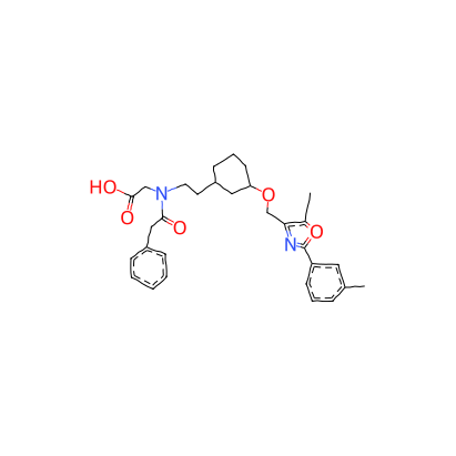 Cc1cccc(-c2nc(COC3CCCC(CCN(CC(=O)O)C(=O)Cc4ccccc4)C3)c(C)o2)c1